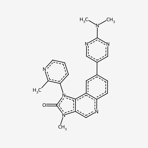 Cc1ncccc1-n1c(=O)n(C)c2cnc3ccc(-c4cnc(N(C)C)nc4)cc3c21